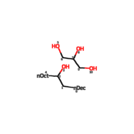 CCCCCCCCCCCC(O)CCCCCCCC.OCC(O)CO